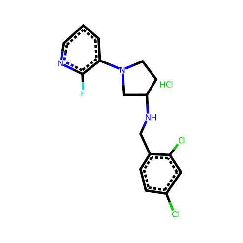 Cl.Fc1ncccc1N1CCC(NCc2ccc(Cl)cc2Cl)C1